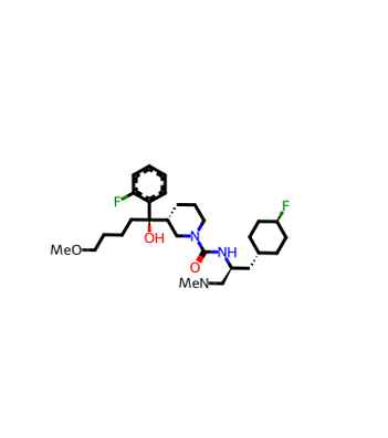 CNC[C@H](C[C@H]1CC[C@H](F)CC1)NC(=O)N1CCC[C@@H]([C@](O)(CCCCOC)c2ccccc2F)C1